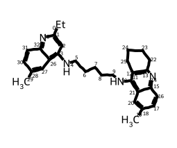 CCc1cc(NCCCCCNc2c3c(nc4ccc(C)cc24)CCCC3)c2cc(C)ccc2n1